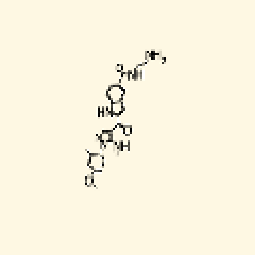 CNc1c(C(=O)c2cc3cc(C(=O)NCCN)ccc3[nH]2)cnn1-c1ccc(OC)cc1C